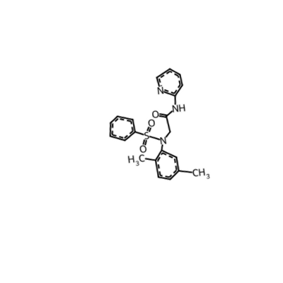 Cc1ccc(C)c(N(CC(=O)Nc2ccccn2)S(=O)(=O)c2ccccc2)c1